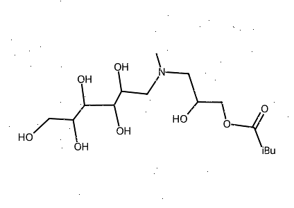 CCC(C)C(=O)OCC(O)CN(C)CC(O)C(O)C(O)C(O)CO